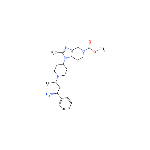 COC(=O)N1CCc2c(nc(C)n2C2CCN(C(C)C[C@H](N)c3ccccc3)CC2)C1